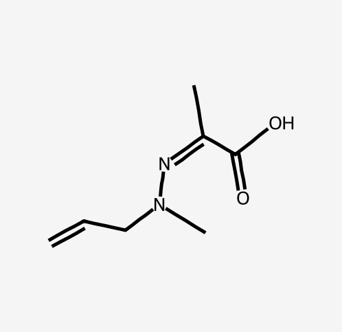 C=CCN(C)N=C(C)C(=O)O